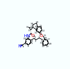 [CH2]CC[CH]c1ccc(C#N)cc1NC(=O)[C@@H]1C[C@]12CCc1ccc(OCc3ccccc3)cc12